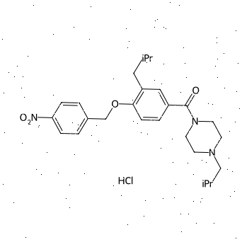 CC(C)Cc1cc(C(=O)N2CCN(CC(C)C)CC2)ccc1OCc1ccc([N+](=O)[O-])cc1.Cl